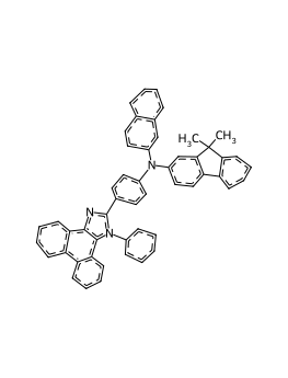 CC1(C)c2ccccc2-c2ccc(N(c3ccc(-c4nc5c6ccccc6c6ccccc6c5n4-c4ccccc4)cc3)c3ccc4ccccc4c3)cc21